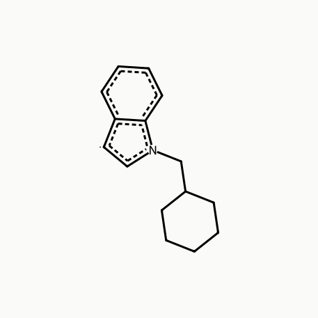 [c]1cn(CC2CCCCC2)c2ccccc12